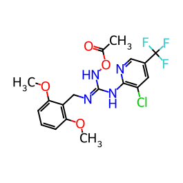 COc1cccc(OC)c1CN=C(NOC(C)=O)Nc1ncc(C(F)(F)F)cc1Cl